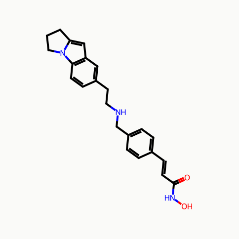 O=C(/C=C/c1ccc(CNCCc2ccc3c(c2)cc2n3CCC2)cc1)NO